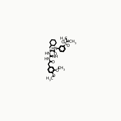 COc1ccc(CC(=O)NC(=N)N[C@H](CC2CCCCC2)C(=O)Nc2cccc(S(=O)(=O)N(C)C)c2)cc1OC